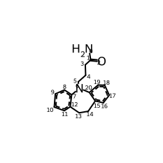 NC(=O)CCCN1c2ccccc2CCc2ccccc21